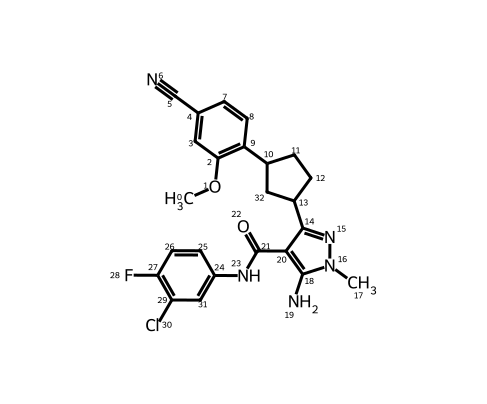 COc1cc(C#N)ccc1C1CCC(c2nn(C)c(N)c2C(=O)Nc2ccc(F)c(Cl)c2)C1